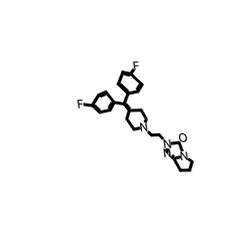 O=c1n(CCN2CCC(=C(c3ccc(F)cc3)c3ccc(F)cc3)CC2)nc2n1CCC2